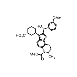 COC(=O)N1c2ccc3c(nc([C@H](O)c4cccc(OC)c4)n3[C@@H]3CCC[C@@H](C(=O)O)C3)c2CC[C@@H]1C